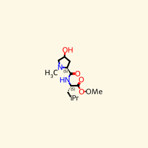 COOC(=O)[C@H](CC(C)C)NC(=O)[C@@H]1CC(O)CN1C